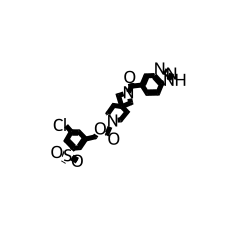 CS(=O)(=O)c1cc(Cl)cc(COC(=O)N2CCC3(CC2)CN(C(=O)c2ccc4[nH]nnc4c2)C3)c1